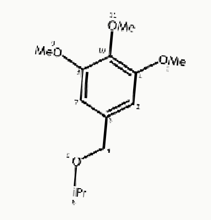 COc1cc(COC(C)C)cc(OC)c1OC